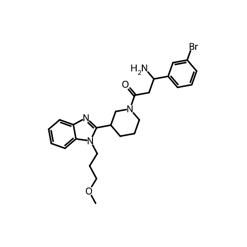 COCCCn1c(C2CCCN(C(=O)CC(N)c3cccc(Br)c3)C2)nc2ccccc21